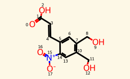 O=C(O)/C=C/c1cc(CO)c(CO)cc1[N+](=O)[O-]